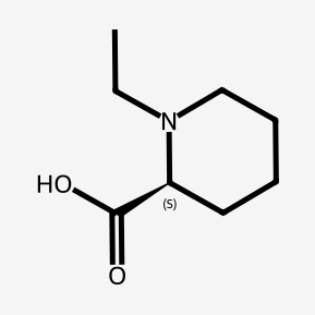 CCN1CCCC[C@H]1C(=O)O